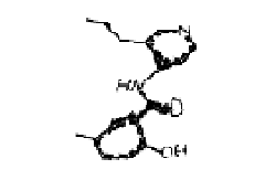 CCCc1cnccc1NC(=O)c1cc(C)ccc1O